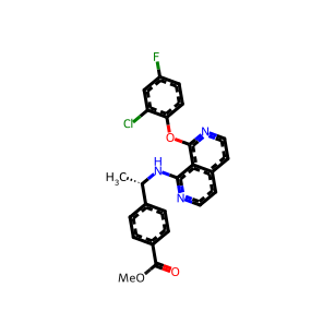 COC(=O)c1ccc([C@H](C)Nc2nccc3ccnc(Oc4ccc(F)cc4Cl)c23)cc1